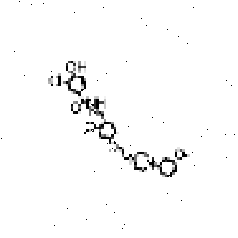 COc1cccc(N2CCN(CCOc3ccc(/C=N/NC(=O)c4ccc(O)c(Cl)c4)c(OC)c3)CC2)c1